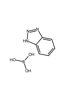 OB(O)O.c1ccc2[nH]nnc2c1